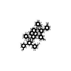 Cc1cccc(-c2cc(-c3cccc(C)c3)c(F)c(N(c3ccccc3)c3ccc4ccc5c(N(c6ccccc6)c6cc(-c7cccc(C)c7)cc(-c7cccc(C)c7)c6F)ccc6ccc3c4c65)c2)c1